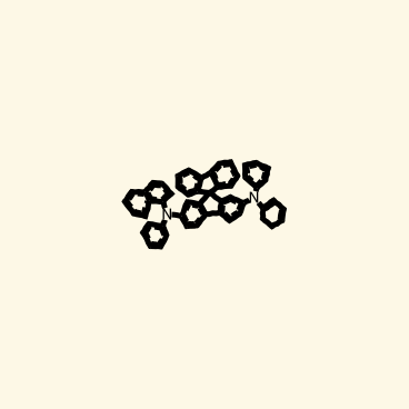 C1=CCCC(N(c2ccccc2)c2ccc3c(c2)C2(c4ccccc4-c4ccccc42)c2cc(N(c4ccccc4)c4cccc5ccccc45)ccc2-3)=C1